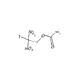 NC(=O)OCC(F)([N+](=O)[O-])[N+](=O)[O-]